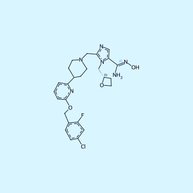 N/C(=N\O)c1cnc(CN2CCC(c3cccc(OCc4ccc(Cl)cc4F)n3)CC2)n1C[C@@H]1CCO1